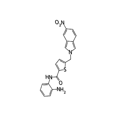 Nc1ccccc1NC(=O)c1ccc(Cn2cc3ccc([N+](=O)[O-])cc3c2)s1